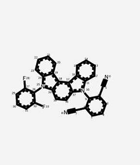 N#Cc1cccc(C#N)c1-n1c2ccccc2c2c3c4ccccc4n(-c4c(F)cccc4F)c3ccc21